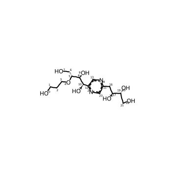 OCCCO[C@H](CO)[C@@H](O)[C@H](O)c1cnc(C[C@H](O)[C@H](O)CO)cn1